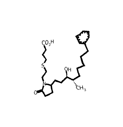 C[C@@H](CCCCCc1ccccc1)[C@H](O)CCC1CCC(=O)N1CCSCCCC(=O)O